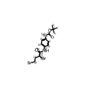 CC(C)(C)OC(=O)Nc1ccc(NC(=O)C(Br)CCBr)cc1